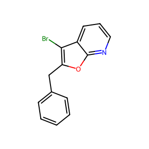 Brc1c(Cc2ccccc2)oc2ncccc12